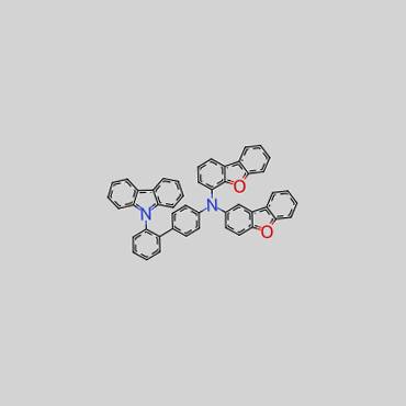 c1ccc(-n2c3ccccc3c3ccccc32)c(-c2ccc(N(c3ccc4oc5ccccc5c4c3)c3cccc4c3oc3ccccc34)cc2)c1